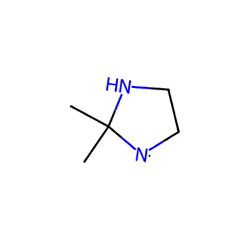 CC1(C)[N]CCN1